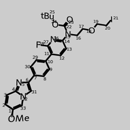 COc1ccc2nc(-c3ccc(-c4ccc(N(CCOCCI)C(=O)OC(C)(C)C)nc4F)cc3)cn2c1